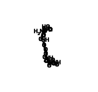 Nc1nnc(-c2ccccc2O)cc1N1CCC(C(=O)NCCOCCOCCOCC(=O)Nc2cccc3c2CN(C2CCC(=O)NC2=O)C3=O)CC1